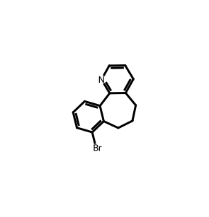 Brc1cccc2c1CCCc1cccnc1-2